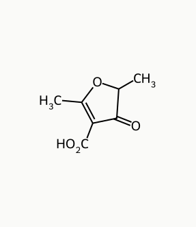 CC1=C(C(=O)O)C(=O)C(C)O1